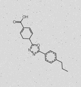 CCCc1ccc(-c2nnc(C3C=CC(C(=O)O)=CC3)o2)cc1